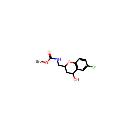 CC(C)(C)OC(=O)NCC1CC(O)c2cc(Br)ccc2O1